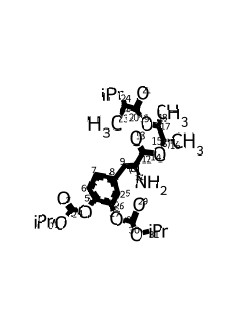 CC(C)OC(=O)Oc1ccc(C[C@H](N)C(=O)O[C@@H](C)C(C)OC(=O)C(C)C(C)C)cc1OC(=O)OC(C)C